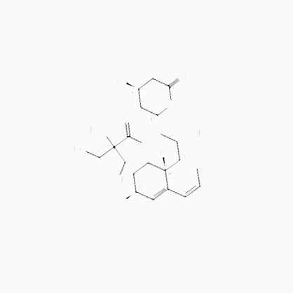 CCC(C)(CC)C(=O)O[C@H]1C[C@H](O)C=C2C=CC[C@@H]([C@@H](C)C[C@@H]3C[C@@H](O)CC(=O)O3)[C@H]21